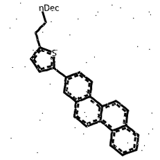 CCCCCCCCCCCCc1ccc(-c2ccc3c(ccc4c5ccccc5ccc34)c2)s1